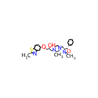 CC1=N[C@@H](CN2CCN(C[C@@H](O)COc3ccc4sc(C)nc4c3)[C@@H](C)C2)[C@H](c2ccccc2)O1